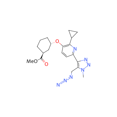 COC(=O)[C@H]1CCC[C@H](Oc2ccc(-c3nnn(C)c3CN=[N+]=[N-])nc2C2CC2)C1